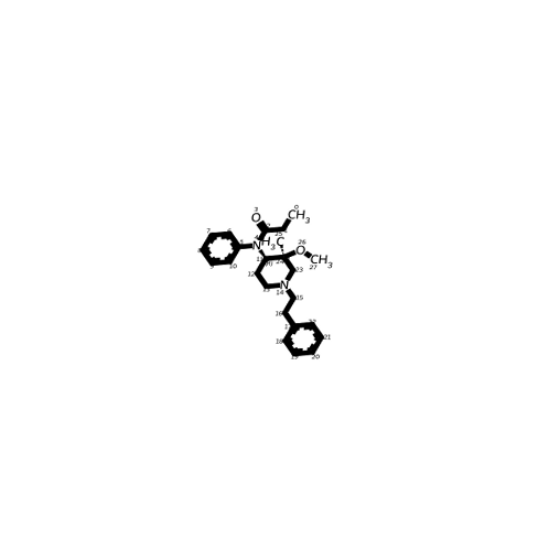 CCC(=O)N(c1ccccc1)[C@@H]1CCN(CCc2ccccc2)C[C@]1(C)OC